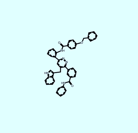 O=C(Nc1ccccc1)c1cccc(-c2nnc(-c3ccccc3NC(=O)c3ccc(OCc4ccccc4)cc3)cc2Cc2c[nH]c3ccccc23)c1